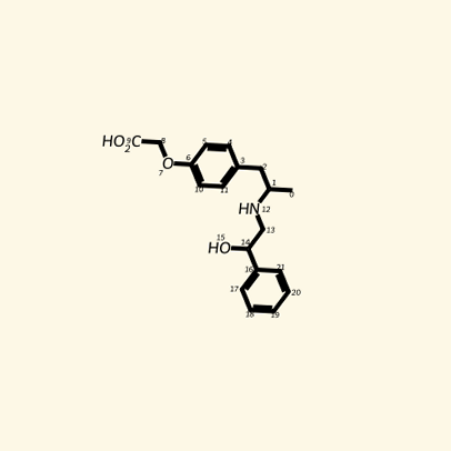 CC(Cc1ccc(OCC(=O)O)cc1)NCC(O)c1ccccc1